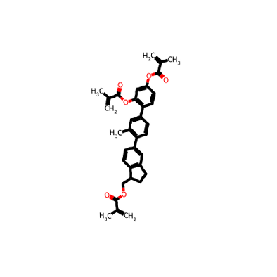 C=C(C)C(=O)OCC1CCc2cc(-c3ccc(-c4ccc(OC(=O)C(=C)C)cc4OC(=O)C(=C)C)cc3C)ccc21